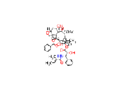 C/C=C(\C)C(=O)N[C@@H](c1ccccc1)[C@@H](O)C(=O)O[C@H]1CC2(O)[C@@H](OC(=O)c3ccccc3)C3[C@](C)(C(=O)[C@H](OC(C)=O)C(=C1C)C2(C)C)[C@@H](O)C[C@H]1OC[C@@]31OC(C)=O